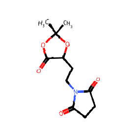 CC1(C)OC(=O)C(CCN2C(=O)CCC2=O)O1